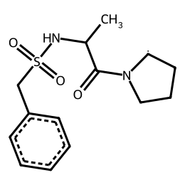 CC(NS(=O)(=O)Cc1ccccc1)C(=O)N1[CH]CCC1